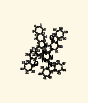 c1ccc2cc3c(cc2c1)c1ccccc1n3-c1c(-c2nc(-c3cccc4c3oc3ccccc34)nc(-n3c4ccccc4c4ccccc43)n2)ccc2c1oc1ccccc12